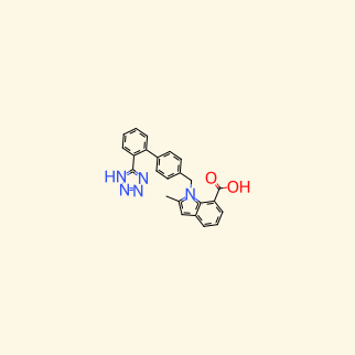 Cc1cc2cccc(C(=O)O)c2n1Cc1ccc(-c2ccccc2-c2nnn[nH]2)cc1